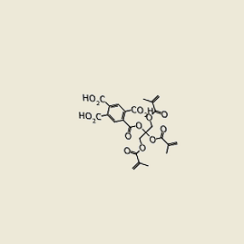 C=C(C)C(=O)OCC(COC(=O)C(=C)C)(OC(=O)C(=C)C)OC(=O)c1cc(C(=O)O)c(C(=O)O)cc1C(=O)O